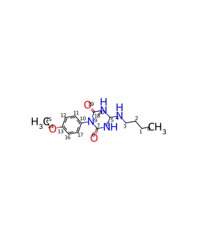 CCCCNC1NC(=O)N(c2ccc(OC)cc2)C(=O)N1